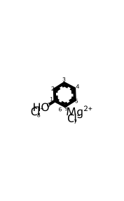 Oc1ccccc1.[Cl-].[Cl-].[Mg+2]